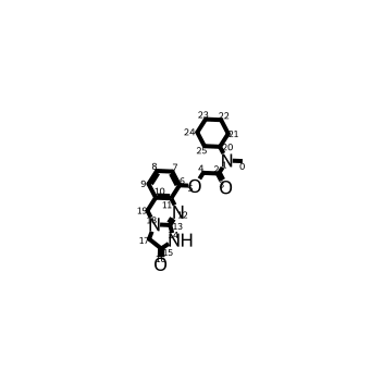 CN(C(=O)COc1cccc2c1N=C1NC(=O)CN1C2)C1CCCCC1